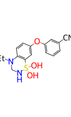 CCN1CNS(O)(O)c2cc(Oc3cccc(C#N)c3)ccc21